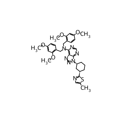 COc1ccc(CN(Cc2ccc(OC)cc2OC)c2ncnc3c2nnn3[C@H]2CCC[C@@H](c3ncc(C)s3)C2)c(OC)c1